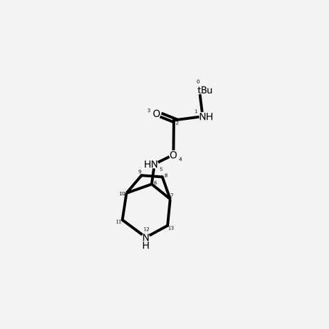 CC(C)(C)NC(=O)ONC1C2CCC1CNC2